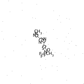 CN(CC(F)(F)F)C(=O)c1cc(-c2cnn3cc(-c4cnn(C)c4)cnc23)cs1